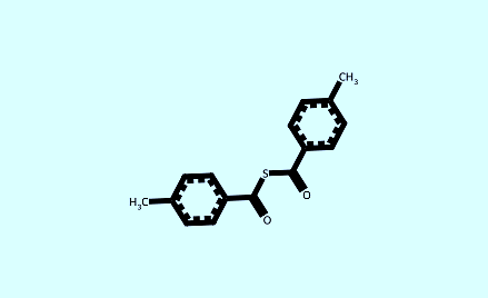 Cc1ccc(C(=O)SC(=O)c2ccc(C)cc2)cc1